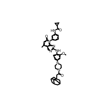 COc1cc(N2CCN(C(=O)CC34CC5CC(CC(C5)C3)C4)CC2)ccc1Nc1ncc2c(C)cc(=O)n(-c3cccc(NC(=O)C4CC4)c3)c2n1